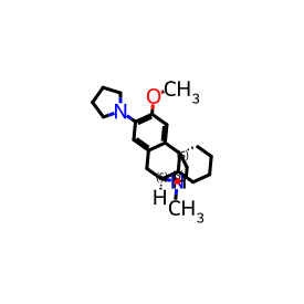 COc1cc2c(cc1N1CCCC1)C[C@H]1[C@H]3CCCC[C@@]23CCN1C